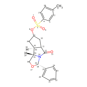 Cc1ccc(S(=O)(=O)OC2CC3C(=O)N4[C@H](CO[C@H]4c4ccccc4)[C@H]3C2)cc1